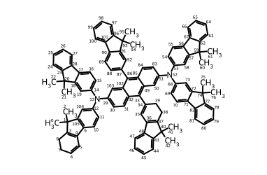 CC1(C)C2=C(C=CCC2)c2ccc(N(c3ccc4c(c3)C(C)(C)c3ccccc3-4)c3ccc4c(C5=CC6=C(CC5)C(C)(C)c5ccccc56)c5cc(N(c6ccc7c(c6)C(C)(C)c6ccccc6-7)c6ccc7c(c6)C(C)(C)c6ccccc6-7)ccc5c(-c5ccc6c(c5)C(C)(C)c5ccccc5-6)c4c3)cc21